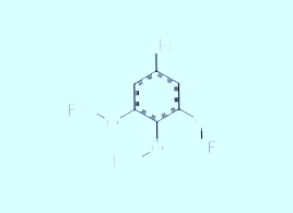 CC(C)c1cc(OC(F)(F)F)c(OC(F)(F)F)c(OC(F)(F)F)c1